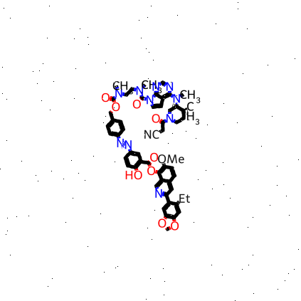 CCc1cc2c(cc1-c1cc3ccc(OC)c(OC(=O)c4cc(/N=N/c5ccc(COC(=O)N(C)CCN(C)C(=O)n6ccc7c(N(C)[C@@H]8CN(C(=O)CC#N)CC[C@@H]8C)ncnc76)cc5)ccc4O)c3cn1)OCO2